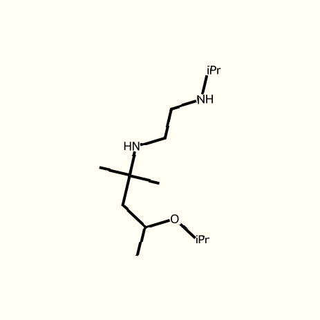 CC(C)NCCNC(C)(C)CC(C)OC(C)C